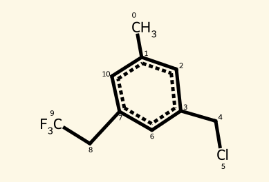 Cc1cc(CCl)cc(CC(F)(F)F)c1